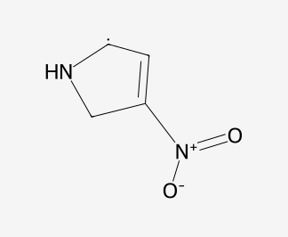 O=[N+]([O-])C1=C[CH]NC1